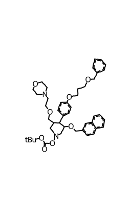 CC(C)(C)OC(=O)ON1CC(COCCN2CCOCC2)C(c2ccc(OCCCOCc3ccccc3)cc2)C(OCc2ccc3ccccc3c2)C1